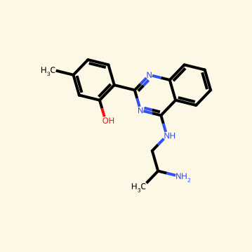 Cc1ccc(-c2nc(NCC(C)N)c3ccccc3n2)c(O)c1